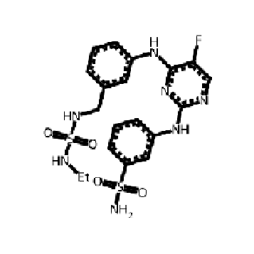 CCNS(=O)(=O)NCc1cccc(Nc2nc(Nc3cccc(S(N)(=O)=O)c3)ncc2F)c1